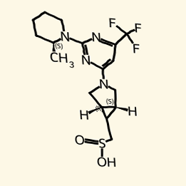 C[C@H]1CCCCN1c1nc(N2C[C@@H]3C(CS(=O)O)[C@@H]3C2)cc(C(F)(F)F)n1